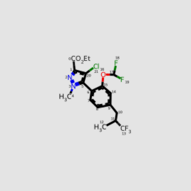 CCOC(=O)c1nn(C)c(-c2ccc(CC(C)C(F)(F)F)cc2OC(F)F)c1Cl